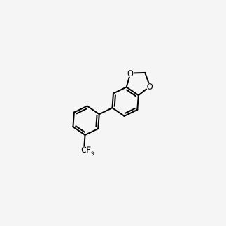 FC(F)(F)c1cc[c]c(-c2ccc3c(c2)OCO3)c1